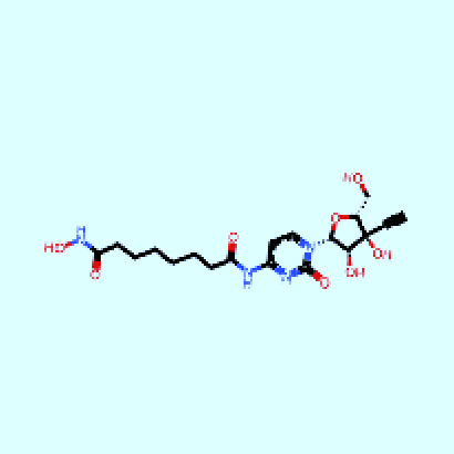 C#C[C@@]1(O)[C@@H](CO)O[C@@H](n2ccc(NC(=O)CCCCCCC(=O)NO)nc2=O)[C@@H]1O